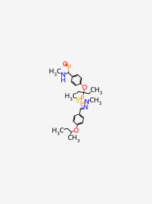 CCC(C)Oc1ccc(/C=N/N(C)[PH](=S)C(CC)(CC)Oc2ccc(C(NC)P=O)cc2)cc1